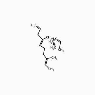 C=C.C=CC.C=CC/C(C)=C/CC/C(C)=C/C